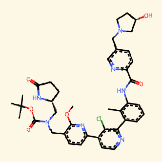 COc1nc(-c2ccnc(-c3cccc(NC(=O)c4ccc(CN5CC[C@@H](O)C5)cn4)c3C)c2Cl)ccc1CN(C[C@@H]1CCC(=O)N1)C(=O)OC(C)(C)C